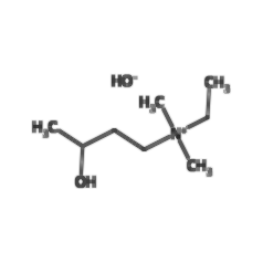 CC[N+](C)(C)CCC(C)O.[OH-]